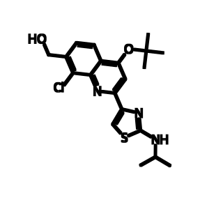 CC(C)Nc1nc(-c2cc(OC(C)(C)C)c3ccc(CO)c(Cl)c3n2)cs1